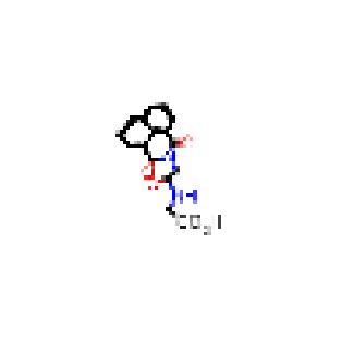 O=C(O)CNC(=O)CN1C(=O)c2cccc3cccc(c23)C1=O